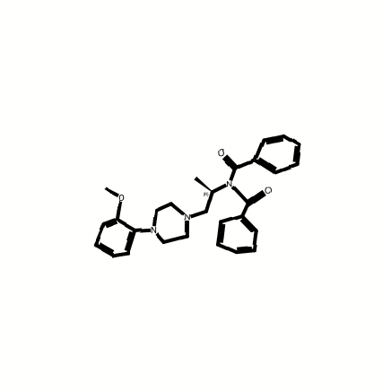 COc1ccccc1N1CCN(C[C@@H](C)N(C(=O)c2ccccc2)C(=O)c2ccccc2)CC1